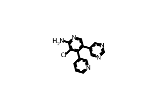 Nc1ncc(-c2cncnc2)c(-c2cccnc2)c1Cl